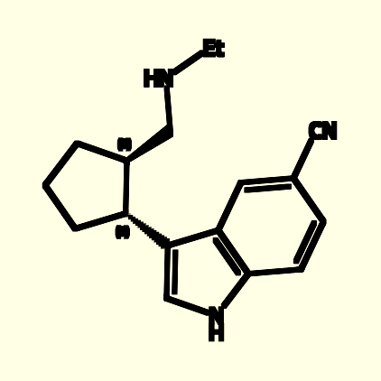 CCNC[C@@H]1CCC[C@H]1c1c[nH]c2ccc(C#N)cc12